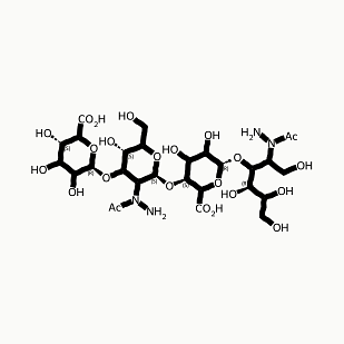 CC(=O)N(N)C(CO)C(O[C@@H]1OC(C(=O)O)[C@@H](O[C@@H]2OC(CO)[C@@H](O)C(O[C@@H]3OC(C(=O)O)[C@@H](O)C(O)C3O)C2N(N)C(C)=O)C(O)C1O)[C@H](O)C(O)CO